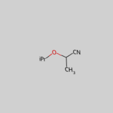 [CH2]C(C)OC(C)C#N